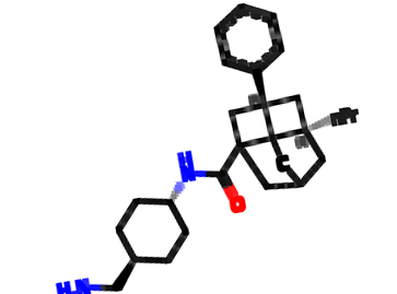 CCC[C@@]12CC3CC4(C(=O)N[C@H]5CC[C@H](CN)CC5)C[C@](c5ccccc5)(C1)C42C3